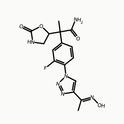 CC(=NO)c1cn(-c2ccc(C(C)(C(N)=O)C3CNC(=O)O3)cc2F)nn1